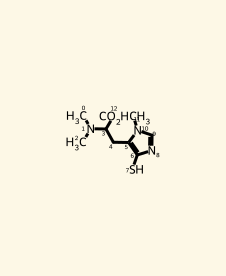 CN(C)C(Cc1c(S)ncn1C)C(=O)O